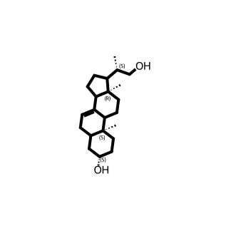 C[C@H](CO)C1CCC2C3=CCC4C[C@@H](O)CC[C@]4(C)C3CC[C@@]21C